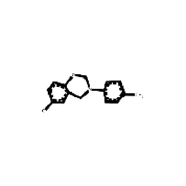 Cc1ccc(N2COc3ccc(Cl)cc3C2)cc1